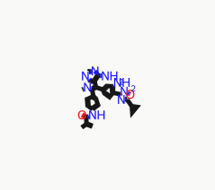 C=C(C)C(=O)Nc1ccc(-c2c(-c3ccc(-c4noc(C5CC5)n4)c(N)c3)c3c(N)ncnc3n2C)cc1